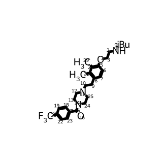 CCC(C)NCCOc1ccc(CCN2CCN(C(=O)c3ccc(C(F)(F)F)cc3)CC2)c(C)c1C